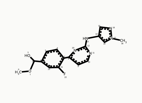 COC(O)c1ccc(-c2ccnc(Nc3cnn(C)c3)n2)c(F)c1